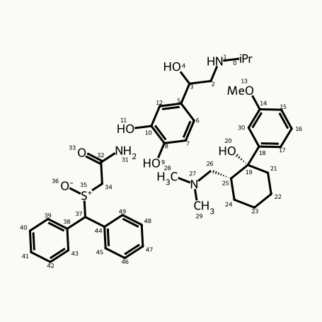 CC(C)NCC(O)c1ccc(O)c(O)c1.COc1cccc([C@@]2(O)CCCC[C@@H]2CN(C)C)c1.NC(=O)C[S+]([O-])C(c1ccccc1)c1ccccc1